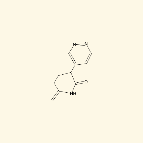 C=C1CCC(c2ccnnc2)C(=O)N1